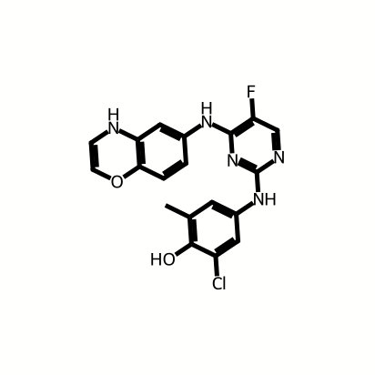 Cc1cc(Nc2ncc(F)c(Nc3ccc4c(c3)NC=CO4)n2)cc(Cl)c1O